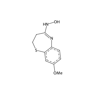 COc1ccc2c(c1)SCCC(NO)=N2